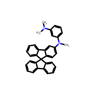 CN(C)c1cccc(N(C)c2ccc3c(c2)-c2ccccc2C32c3ccccc3-c3ccccc32)c1